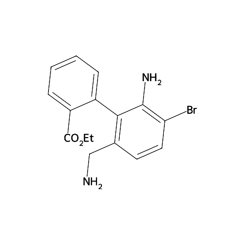 CCOC(=O)c1ccccc1-c1c(CN)ccc(Br)c1N